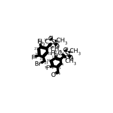 CC(C)(c1cc(C=O)c(F)cc1F)S(C)(=O)=O.CC(C)(c1cc(CBr)c(F)cc1F)S(C)(=O)=O